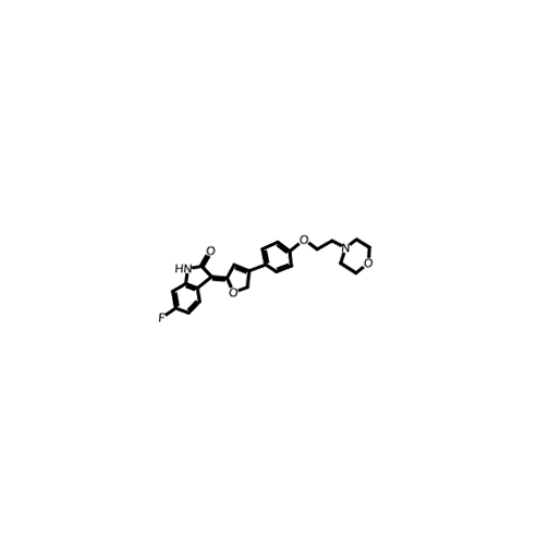 O=C1Nc2cc(F)ccc2C1=C1C=C(c2ccc(OCCN3CCOCC3)cc2)CO1